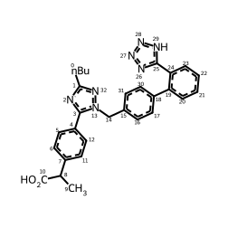 CCCCc1nc(-c2ccc(C(C)C(=O)O)cc2)n(Cc2ccc(-c3ccccc3-c3nnn[nH]3)cc2)n1